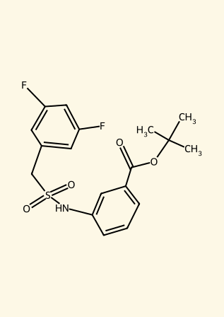 CC(C)(C)OC(=O)c1cccc(NS(=O)(=O)Cc2cc(F)cc(F)c2)c1